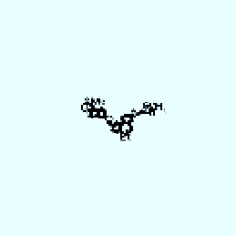 CCN1CCc2cc(OCCCS(C)(=O)=O)ccc2-c2cc(COc3ccc4c(c3)COC4CC(=O)OC)ccc21